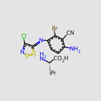 CC(C)[C@H](N)C(=O)O.N#Cc1c(N)ccc(/N=c2\ssnc2Cl)c1Br